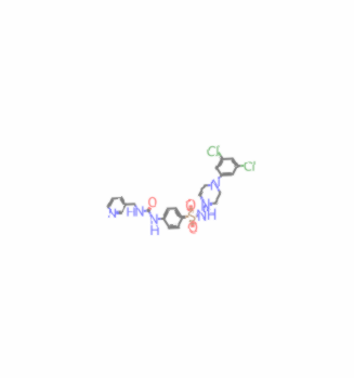 O=C(NCc1cccnc1)Nc1ccc(S(=O)(=O)NN2CCN(c3cc(Cl)cc(Cl)c3)CC2)cc1